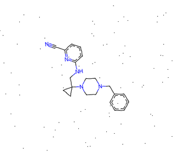 N#Cc1cccc(NCC2(N3CCN(Cc4ccccc4)CC3)CC2)n1